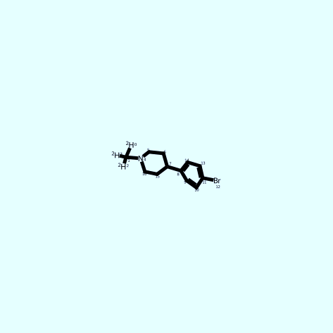 [2H]C([2H])([2H])N1CCC(c2ccc(Br)cc2)CC1